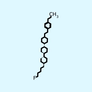 CCCc1ccc(CCC2CCC([C@H]3CC[C@H]([C@H]4CC[C@H](CCCCCF)CC4)CC3)CC2)cc1